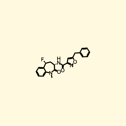 CN1C(=O)[C@@H](NC(=O)c2cc(Cc3ccccc3)on2)C[C@H](F)c2ccccc21